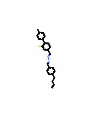 C=CCCc1ccc(C=NN=Cc2ccc(-c3ccc(C)cc3)c(F)c2)cc1